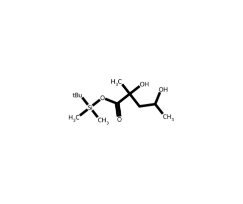 CC(O)CC(C)(O)C(=O)O[Si](C)(C)C(C)(C)C